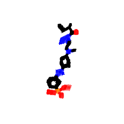 CCC(C)C(=O)NCCN(C)c1ccc(/N=N/c2cccc(P(=O)(O)O)c2)cc1